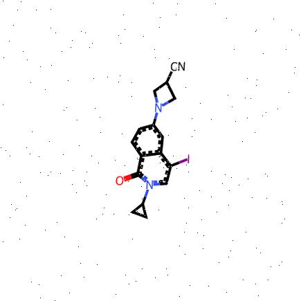 N#CC1CN(c2ccc3c(=O)n(C4CC4)cc(I)c3c2)C1